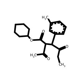 CCC(=O)C(c1cccc(C)c1)C(C(C)=O)C(=O)OC1CCCCC1